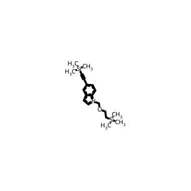 C[Si](C)(C)C#Cc1ccc2c(ccn2COCC[Si](C)(C)C)c1